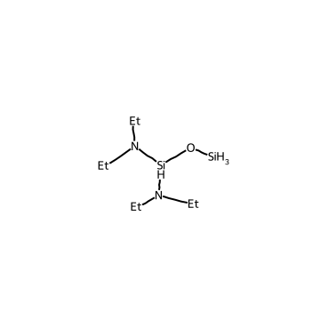 CCN(CC)[SiH](O[SiH3])N(CC)CC